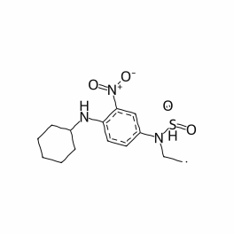 [CH2]CN(c1ccc(NC2CCCCC2)c([N+](=O)[O-])c1)[SH](=O)=O